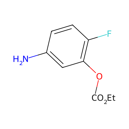 CCOC(=O)Oc1cc(N)ccc1F